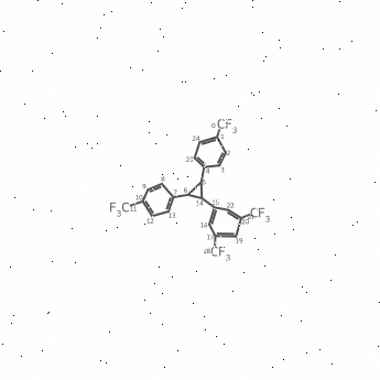 FC(F)(F)c1ccc(C2C(c3ccc(C(F)(F)F)cc3)C2c2cc(C(F)(F)F)cc(C(F)(F)F)c2)cc1